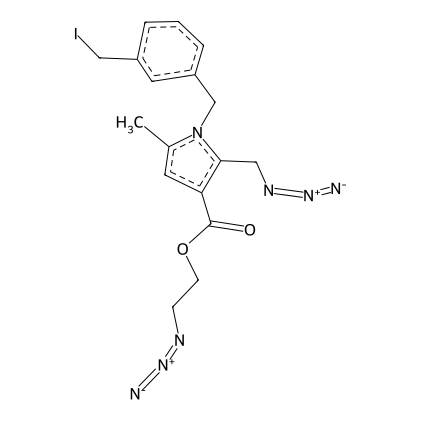 Cc1cc(C(=O)OCCN=[N+]=[N-])c(CN=[N+]=[N-])n1Cc1cccc(CI)c1